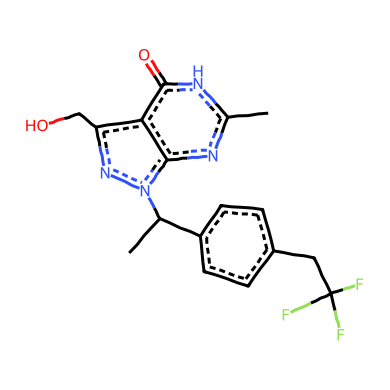 Cc1nc2c(c(CO)nn2C(C)c2ccc(CC(F)(F)F)cc2)c(=O)[nH]1